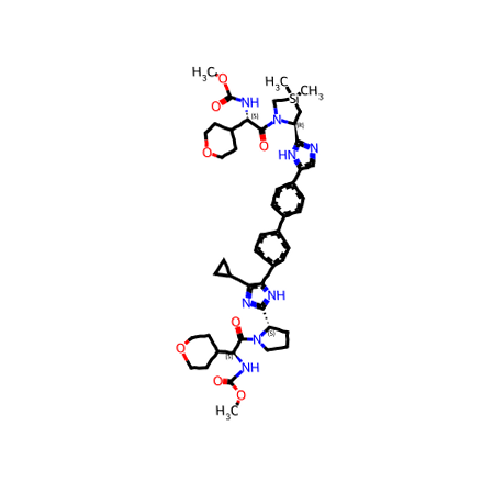 COC(=O)N[C@H](C(=O)N1C[Si](C)(C)C[C@H]1c1ncc(-c2ccc(-c3ccc(-c4[nH]c([C@@H]5CCCN5C(=O)[C@@H](NC(=O)OC)C5CCOCC5)nc4C4CC4)cc3)cc2)[nH]1)C1CCOCC1